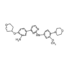 COc1cc(Nc2nccc(-c3ccc(OC4CCOCC4)c(N)c3)n2)ccc1N1CCOCC1